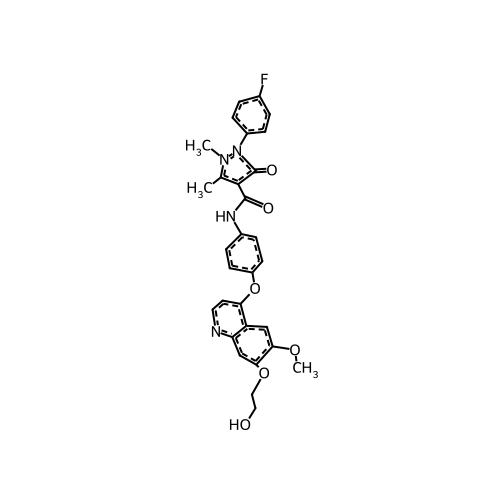 COc1cc2c(Oc3ccc(NC(=O)c4c(C)n(C)n(-c5ccc(F)cc5)c4=O)cc3)ccnc2cc1OCCO